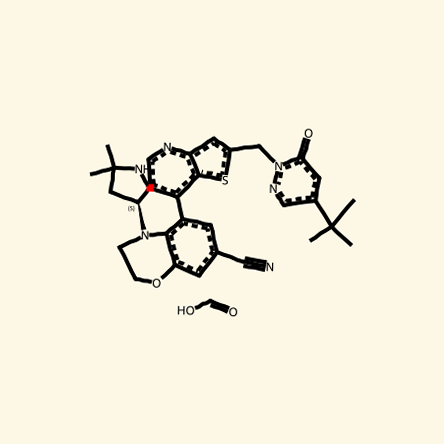 CC1(C)C[C@H](N2CCOc3cc(C#N)cc(-c4ccnc5cc(Cn6ncc(C(C)(C)C)cc6=O)sc45)c32)CN1.O=CO